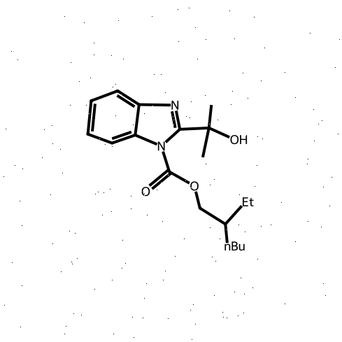 CCCCC(CC)COC(=O)n1c(C(C)(C)O)nc2ccccc21